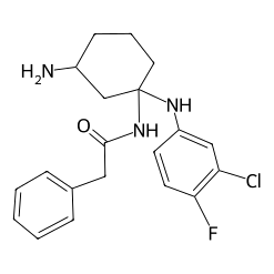 NC1CCCC(NC(=O)Cc2ccccc2)(Nc2ccc(F)c(Cl)c2)C1